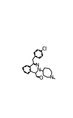 CN1CCCC(N2N=C(Cc3ccc(Cl)cc3)c3ccccc3C2C=O)CC1